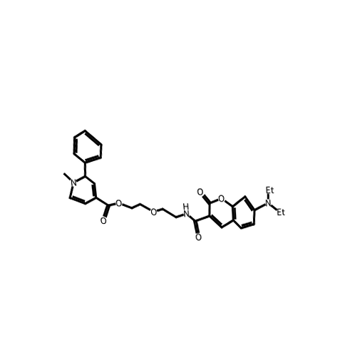 CCN(CC)c1ccc2cc(C(=O)NCCOCCOC(=O)C3=CC(c4ccccc4)N(C)C=C3)c(=O)oc2c1